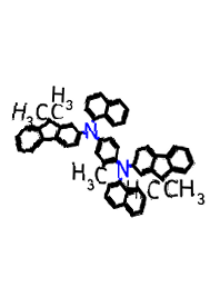 Cc1cc(N(c2ccc3c(c2)C(C)(C)c2ccccc2-3)c2cccc3ccccc23)ccc1N(c1ccc2c(c1)C(C)(C)c1ccccc1-2)c1cccc2ccccc12